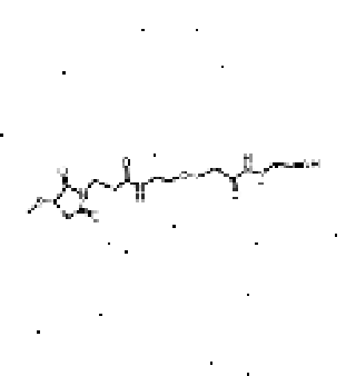 CSC1CC(=O)N(CCC(=O)NCCOCCC(=O)NNCP=N)C1=O